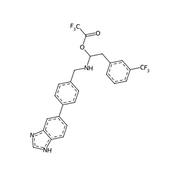 O=C(OC(Cc1cccc(C(F)(F)F)c1)NCc1ccc(-c2ccc3[nH]cnc3c2)cc1)C(F)(F)F